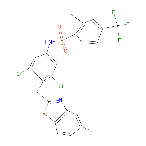 Cc1ccc2sc(Sc3c(Cl)cc(NS(=O)(=O)c4ccc(C(F)(F)F)cc4C)cc3Cl)nc2c1